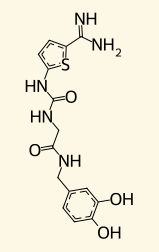 N=C(N)c1ccc(NC(=O)NCC(=O)NCc2ccc(O)c(O)c2)s1